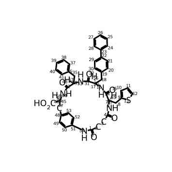 O=C1CCC(=O)N[C@H](Cc2cccs2)C(=O)N[C@H](Cc2ccc(-c3ccccc3)cc2)C(=O)N[C@@H](Cc2ccccc2)C(=O)N[C@H](C(=O)O)Cc2ccc(cc2)N1